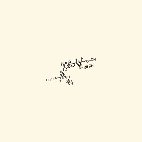 O=S(=O)(O)CCNc1nc(NCCOCCO)nc(Nc2ccc(C=Cc3ccc(Nc4nc(/N=C\CSOOO)nc(NCCOCCO)n4)cc3S(=O)(=O)O)c(SOO)c2)n1